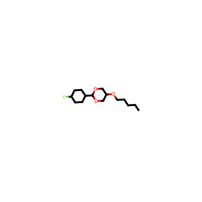 CCCCCOC1COC(C2CCC(F)CC2)OC1